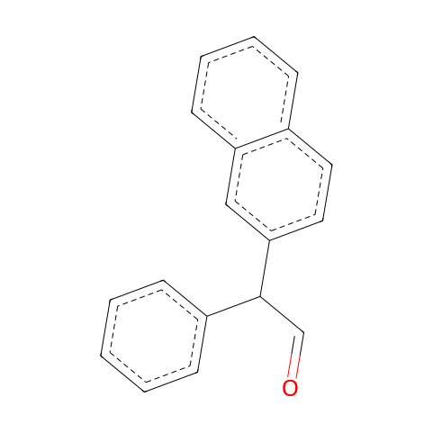 O=CC(c1ccccc1)c1ccc2ccccc2c1